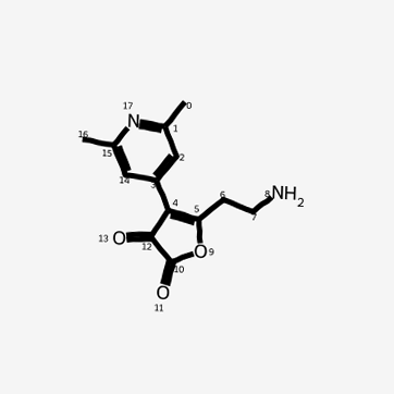 Cc1cc(C2=C(CCN)OC(=O)C2=O)cc(C)n1